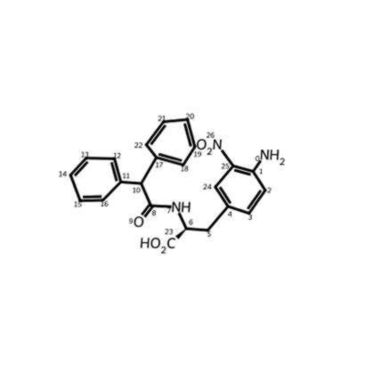 Nc1ccc(C[C@H](NC(=O)C(c2ccccc2)c2ccccc2)C(=O)O)cc1[N+](=O)[O-]